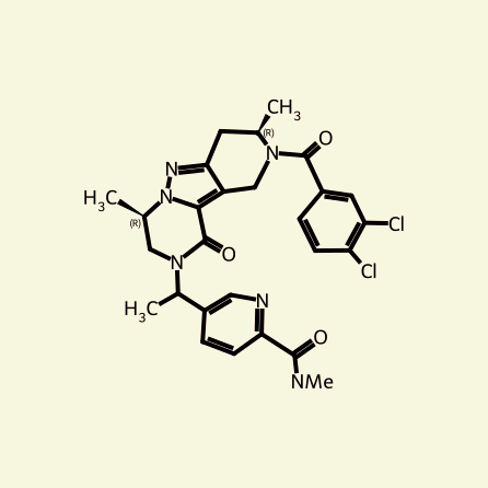 CNC(=O)c1ccc(C(C)N2C[C@@H](C)n3nc4c(c3C2=O)CN(C(=O)c2ccc(Cl)c(Cl)c2)[C@H](C)C4)cn1